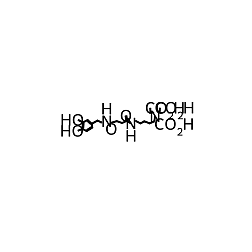 O=C(O)CN(CC(=O)O)C(CCCCNC(=O)CCC(=O)NCCc1ccc(O)c(O)c1)C(=O)O